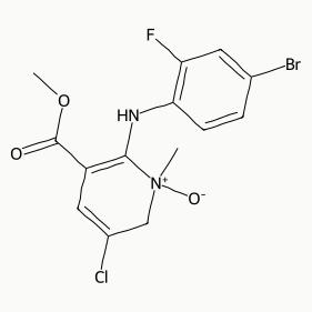 COC(=O)C1=C(Nc2ccc(Br)cc2F)[N+](C)([O-])CC(Cl)=C1